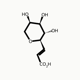 O=C(O)/C=C/[C@H]1OC[C@@H](O)[C@@H](O)[C@@H]1O